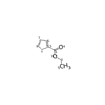 CCOC(=O)C1=CC=CC1